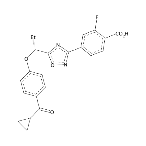 CC[C@@H](Oc1ccc(C(=O)C2CC2)cc1)c1nc(-c2ccc(C(=O)O)c(F)c2)no1